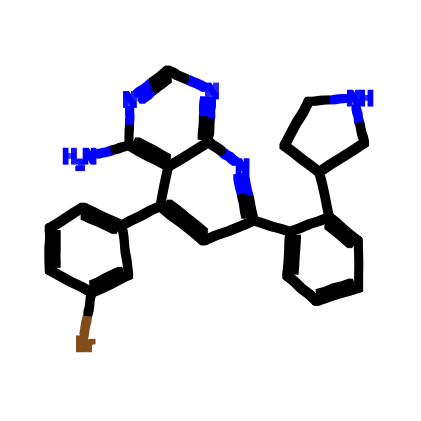 Nc1ncnc2nc(-c3ccccc3C3CCNC3)cc(-c3cccc(Br)c3)c12